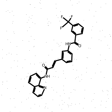 O=C(/C=C/c1cccc(NC(=O)c2cccc(C(F)(F)F)c2)c1)Nc1cccc2cccnc12